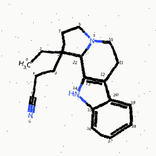 CCC1(CCC#N)CCN2CCc3c([nH]c4ccccc34)C21